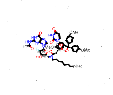 CCCCCCCCCCCCCCCCCN(C[C@H]1O[C@@H](n2cnc3c(=O)[nH]c(NC(=O)C(C)C)nc32)[C@H](F)[C@@H]1O)C(=O)C[C@H]1[C@@H](OC)[C@H](n2ccc(=O)[nH]c2=O)O[C@@H]1COC(c1ccccc1)(c1ccc(OC)cc1)c1ccc(OC)cc1